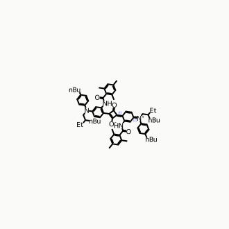 CCCCc1ccc(N(CC(CC)CCCC)c2ccc(C3=C([O-])/C(=C4C=C/C(=[N+](\CC(CC)CCCC)c5ccc(CCCC)cc5)C=C/4NC(=O)c4c(C)cc(C)cc4C)C3=O)c(NC(=O)c3c(C)cc(C)cc3C)c2)cc1